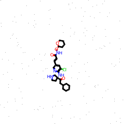 O=C(/C=C/c1cnc(N[C@]2(C(=O)CC3CCCCC3)CCNC2)c(Cl)c1)NOC1CCCCO1